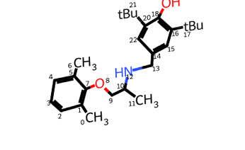 Cc1cccc(C)c1OCC(C)NCc1cc(C(C)(C)C)c(O)c(C(C)(C)C)c1